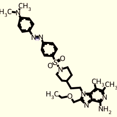 CCOCc1nc2c(N)nc(C)c(C)c2n1CCC1CCN(S(=O)(=O)c2ccc(/N=N/c3ccc(N(C)C)cc3)cc2)CC1